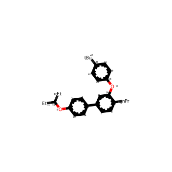 CCCc1ccc(-c2ccc(OC(CC)CC)cc2)cc1Oc1ccc(C(C)(C)C)cc1